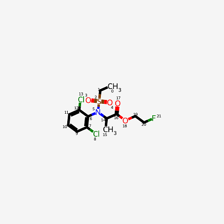 CCS(=O)(=O)N(c1c(Cl)cccc1Cl)C(C)C(=O)OCCF